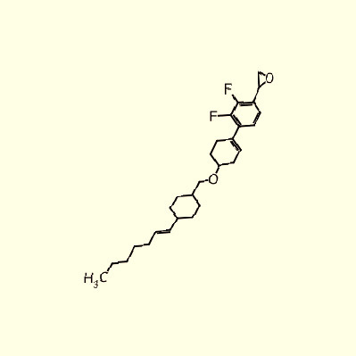 CCCCC/C=C/C1CCC(COC2CC=C(c3ccc(C4CO4)c(F)c3F)CC2)CC1